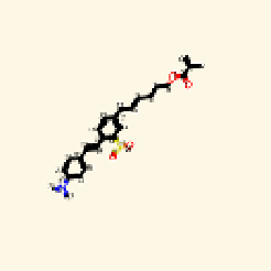 C=C(C)C(=O)OCCCCCCC1=CC(=S(=O)=O)C(C=Cc2ccc(N(C)C)cc2)C=C1